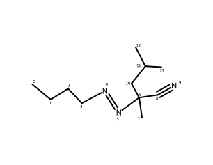 CCCC/N=N/C(C)(C#N)CC(C)C